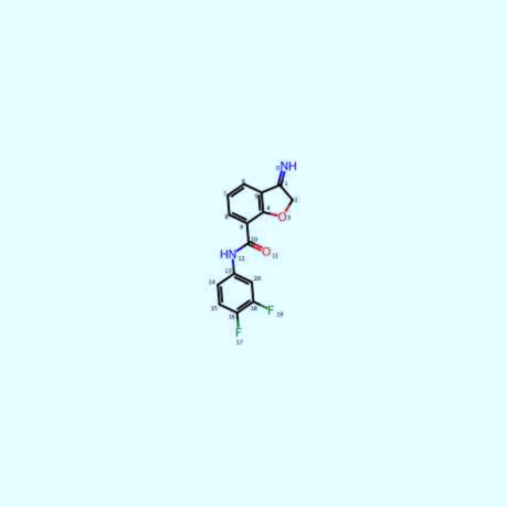 N=C1COc2c1cccc2C(=O)Nc1ccc(F)c(F)c1